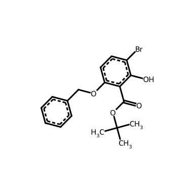 CC(C)(C)OC(=O)c1c(OCc2ccccc2)ccc(Br)c1O